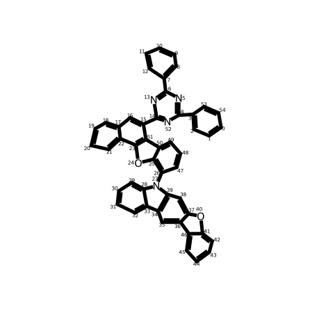 c1ccc(-c2nc(-c3ccccc3)nc(-c3cc4ccccc4c4oc5c(-n6c7ccccc7c7cc8c(cc76)oc6ccccc68)cccc5c34)n2)cc1